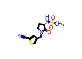 CS(=O)(=O)N[C@H]1CCN(Cc2csc(C#N)c2)C1=O